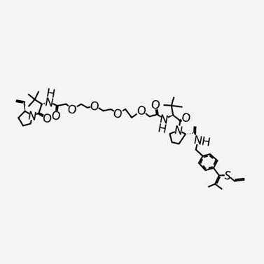 C=CSC(=C(C)C)c1ccc(CNC(=C)[C@@H]2CCCN2C(=O)[C@@H](NC(=O)COCCOCCOCCOCC(=O)N[C@H](C(=O)N2CCC[C@H]2C=C)C(C)(C)C)C(C)(C)C)cc1